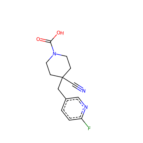 N#CC1(Cc2ccc(F)nc2)CCN(C(=O)O)CC1